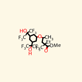 CCC(CC(C)OC1CC(C(O)(C(F)(F)F)C(F)(F)F)CC(C(O)(C(F)(F)F)C(F)(F)F)C1)(C(=O)OC)C(F)(F)F